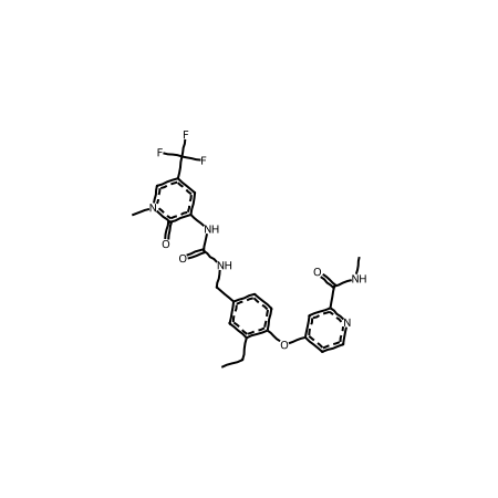 CCc1cc(CNC(=O)Nc2cc(C(F)(F)F)cn(C)c2=O)ccc1Oc1ccnc(C(=O)NC)c1